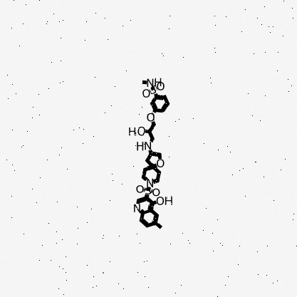 CNS(=O)(=O)c1cccc(OCC(O)CNC2COC3(CCN(S(=O)(=O)c4cnc5ccc(C)cc5c4O)CC3)C2)c1